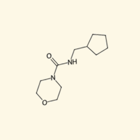 O=C(NCC1CCCC1)N1CCOCC1